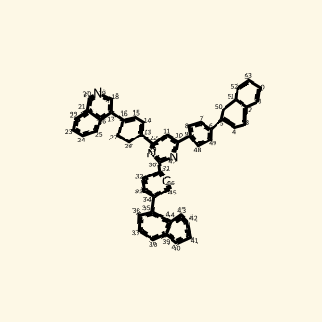 C1=CC2=CC=C(c3ccc(-c4cc(C5=CC=C(c6cncc7ccccc67)CC5)nc(-c5ccc(-c6cccc7ccccc67)cc5)n4)cc3)CC2C=C1